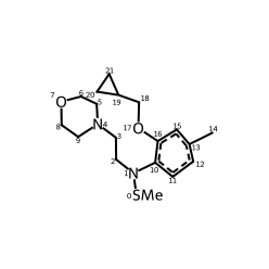 CSN(CCN1CCOCC1)c1ccc(C)cc1OCC1CC1